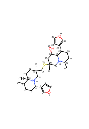 C[C@@H]1CC[C@@H](c2ccoc2)N2C[C@](C)(CS[C@]3(C)C[C@@H](O)C4[C@H](c5ccoc5)CC[C@@H](C)N4C3)CC[C@@H]12